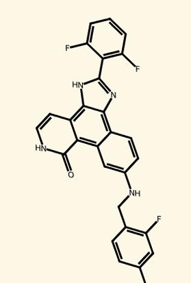 O=c1[nH]ccc2c3[nH]c(-c4c(F)cccc4F)nc3c3ccc(NCc4ccc(F)cc4F)cc3c12